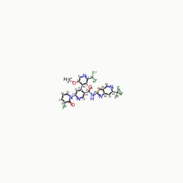 COc1cnc(C(F)F)cc1-c1cc(-n2cccc(F)c2=O)ncc1C(=O)Nc1nc2cc(C(F)(F)F)ncc2s1